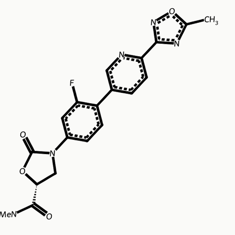 CNC(=O)[C@H]1CN(c2ccc(-c3ccc(-c4noc(C)n4)nc3)c(F)c2)C(=O)O1